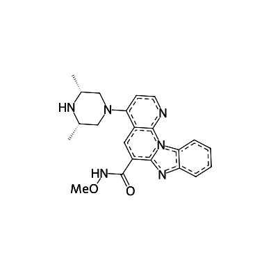 CONC(=O)c1cc2c(N3C[C@@H](C)N[C@@H](C)C3)ccnc2n2c1nc1ccccc12